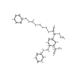 CCN(C(=O)CCCCCOCCc1ccccc1)c1ccc(OCc2ccccc2)c([N+](=O)[O-])c1